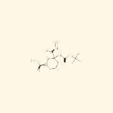 CC(C)(C)OC(=O)NC1(/C(Cl)=N/O)CCCN(C(=O)O)C1